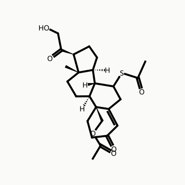 CC(=O)OC[C@]12CCC(=O)C=C1CC(SC(C)=O)[C@@H]1[C@@H]2CC[C@]2(C)[C@@H](C(=O)CO)CC[C@@H]12